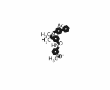 CC(=O)c1ccccc1-c1ccc(Cn2c(C)c(C)c3cc(C(=O)NCc4cccc([S+](C)[O-])c4)ccc32)cc1